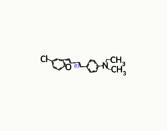 CCN(CC)c1ccc(/C=C/c2cc3cc(Cl)ccc3o2)cc1